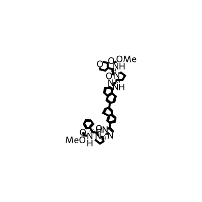 COC(=O)N[C@H](C(=O)N1CCC[C@H]1c1nc2ccc3cc(-c4ccc5cc(-c6cnc([C@@H]7CCCN7C(=O)[C@H](NC(=O)OC)c7ccccc7)[nH]6)ccc5c4)ccc3c2[nH]1)C1CCOCC1